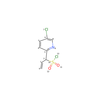 C=CC(c1ccc(Cl)cn1)S(=O)(=O)Cl